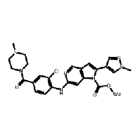 CN1CCN(C(=O)c2ccc(Nc3cc4c(cn3)cc(-c3cnn(C)c3)n4C(=O)OC(C)(C)C)c(Cl)c2)CC1